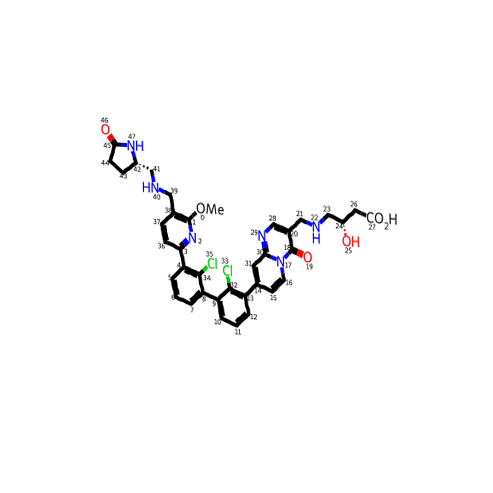 COc1nc(-c2cccc(-c3cccc(-c4ccn5c(=O)c(CNC[C@@H](O)CC(=O)O)cnc5c4)c3Cl)c2Cl)ccc1CNC[C@@H]1CCC(=O)N1